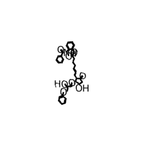 O=C(CCC/C=C/CC1C(=O)CC(O)C1OCC(O)COc1ccccc1)Oc1ccccc1NC(=O)c1ccccc1